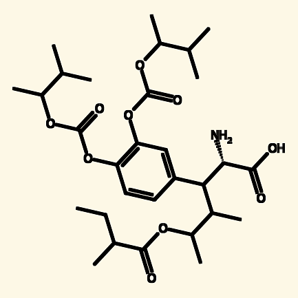 CCC(C)C(=O)OC(C)C(C)C(c1ccc(OC(=O)OC(C)C(C)C)c(OC(=O)OC(C)C(C)C)c1)[C@H](N)C(=O)O